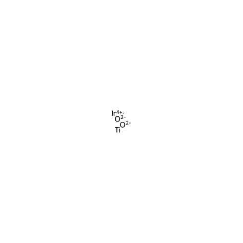 [Ir+4].[O-2].[O-2].[Ti]